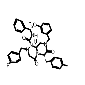 Cc1ccc(C[C@H]2C(=O)N(Cc3cccc(C(F)(F)F)c3)C[C@H]3N2C(=O)CN(Cc2ccc(F)cc2)N3C(=O)NCc2ccccc2)cc1